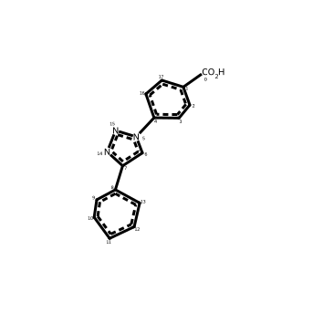 O=C(O)c1ccc(-n2cc(-c3ccccc3)nn2)cc1